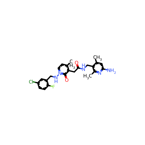 Cc1cc(N)nc(C)c1CNC(=O)Cc1c(C)ccn(NCc2cc(Cl)ccc2F)c1=O